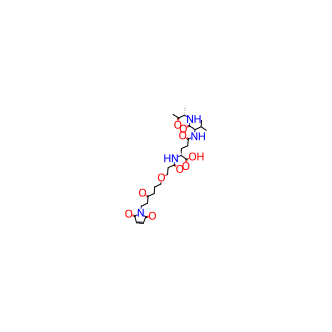 CC(=O)[C@H](C)NC(=O)C(NC(=O)CC[C@H](NC(=O)CCOCCCC(=O)CCN1C(=O)C=CC1=O)C(=O)O)C(C)C